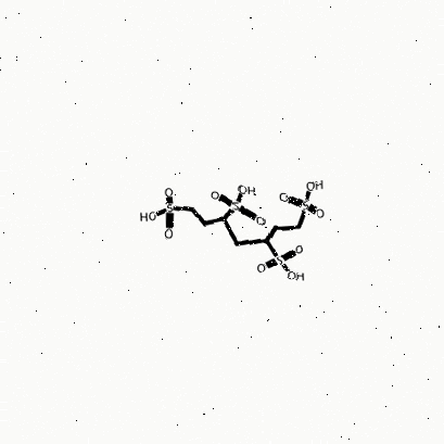 O=S(=O)(O)CCC(CC(CCS(=O)(=O)O)S(=O)(=O)O)S(=O)(=O)O